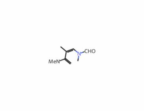 C=C(NC)/C(C)=C\N(C)C=O